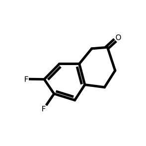 O=C1CCc2cc(F)c(F)cc2C1